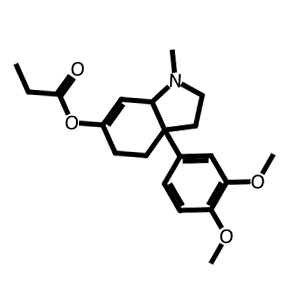 CCC(=O)OC1=CC2N(C)CCC2(c2ccc(OC)c(OC)c2)CC1